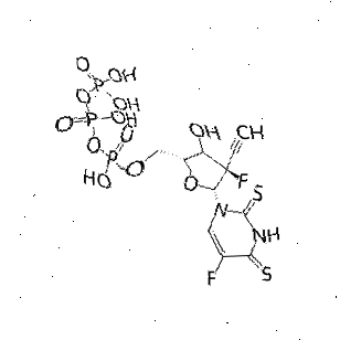 C#C[C@@]1(F)C(O)[C@@H](COP(=O)(O)OP(=O)(O)OP(=O)(O)O)O[C@H]1n1cc(F)c(=S)[nH]c1=S